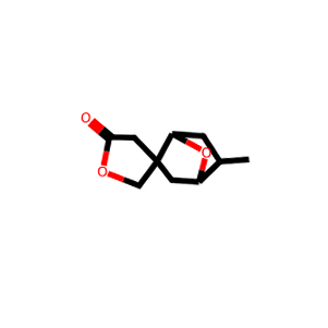 CC1CC2OC1CC21COC(=O)C1